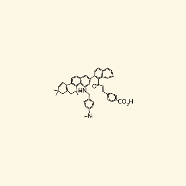 CN(C)c1ccc(CNc2cc(-c3ccc4ccccc4c3C(=O)C=Cc3ccc(C(=O)O)cc3)cc3ccc4c(c23)C(C)(C)CC2=C4C=CC(C)(C)C2)cc1